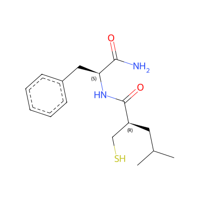 CC(C)C[C@@H](CS)C(=O)N[C@@H](Cc1ccccc1)C(N)=O